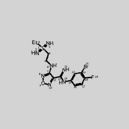 CCS(=N)(=N)CCNc1nonc1C(=N)Nc1ccc(F)c(Br)c1